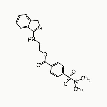 CN(C)S(=O)(=O)c1ccc(C(=O)OCCNC2=NCc3ccccc32)cc1